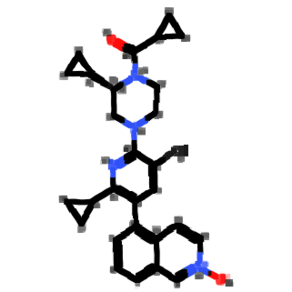 N#Cc1cc(-c2cccc3c[n+]([O-])ccc23)c(C2CC2)nc1N1CCN(C(=O)C2CC2)[C@H](C2CC2)C1